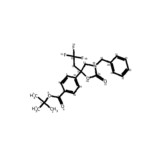 CC(C)(C)OC(=O)c1ccc(C2(CC(F)(F)F)CN(Cc3ccccc3)C(=O)O2)cc1